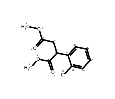 COC(=O)CC(C(=O)OC)c1ccccc1Cl